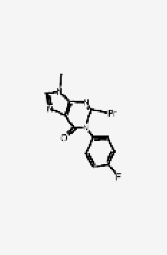 CC(C)c1nc2c(ncn2C)c(=O)n1-c1ccc(F)cc1